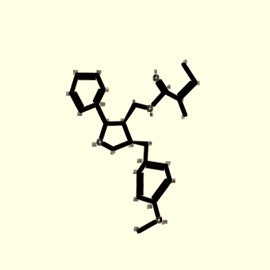 C/C=C(/C)C(=O)OC[C@@H]1C(c2ccccc2)OC[C@@H]1Cc1ccc(OC)cc1